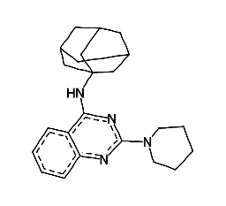 c1ccc2c(NC34CC5CC(CC(C5)C3)C4)nc(N3CCCCC3)nc2c1